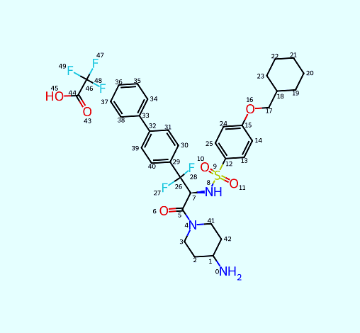 NC1CCN(C(=O)[C@H](NS(=O)(=O)c2ccc(OCC3CCCCC3)cc2)C(F)(F)c2ccc(-c3ccccc3)cc2)CC1.O=C(O)C(F)(F)F